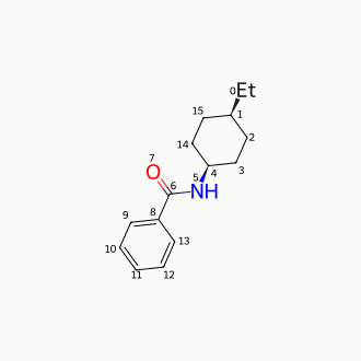 CC[C@H]1CC[C@@H](NC(=O)c2ccccc2)CC1